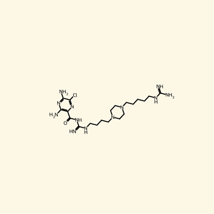 N=C(N)NCCCCCN1CCN(CCCCNC(=N)NC(=O)c2nc(Cl)c(N)nc2N)CC1